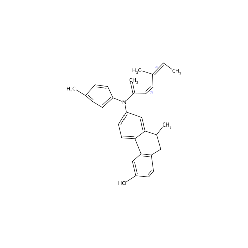 C=C(/C=C\C(C)=C/C)N(c1ccc(C)cc1)c1ccc2c(c1)C(C)Cc1ccc(O)cc1-2